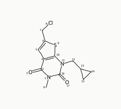 Cn1c(=O)c2cc(CCl)sc2n(CC2CC2)c1=O